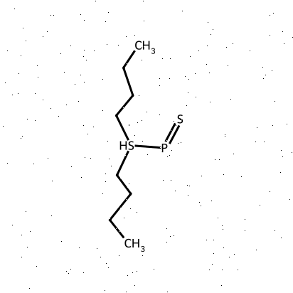 CCCC[SH](CCCC)P=S